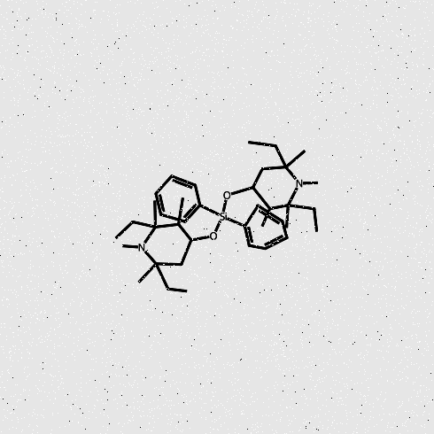 CCC1(C)CC(O[Si](OC2CC(C)(CC)N(C)C(C)(CC)C2C)(c2ccccc2)c2ccccc2)C(C)C(C)(CC)N1C